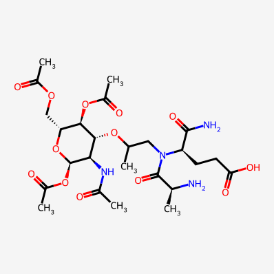 CC(=O)N[C@H]1[C@@H](OC(C)=O)O[C@H](COC(C)=O)[C@@H](OC(C)=O)[C@@H]1OC(C)CN(C(=O)[C@H](C)N)[C@H](CCC(=O)O)C(N)=O